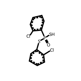 O=P(S)(Sc1ccccc1Cl)c1ccccc1Cl